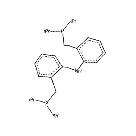 CC(C)P(Cc1ccccc1Nc1ccccc1CP(C(C)C)C(C)C)C(C)C